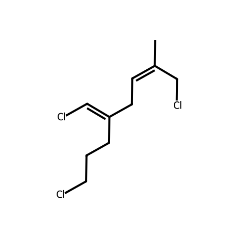 CC(=CCC(=CCl)CCCCl)CCl